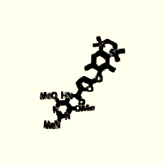 CNc1nc(OC)c(NC(=O)c2ccc(Oc3c(C)cc4c(c3C)[Si](C)(C)CC[Si]4(C)C)o2)c(OC)n1